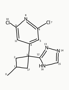 CC1CC(c2cc(Cl)nc(Cl)c2)(c2nnc[nH]2)C1